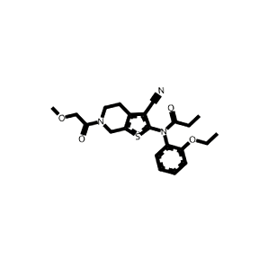 CCOc1ccccc1N(C(=O)CC)c1sc2c(c1C#N)CCN(C(=O)COC)C2